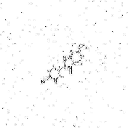 FC(F)(F)c1ccc2[nH]c(-c3ccc(Br)nc3)nc2c1